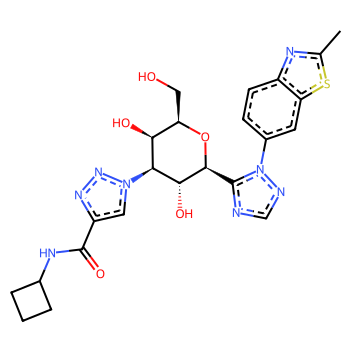 Cc1nc2ccc(-n3ncnc3[C@@H]3O[C@H](CO)[C@H](O)[C@H](n4cc(C(=O)NC5CCC5)nn4)[C@H]3O)cc2s1